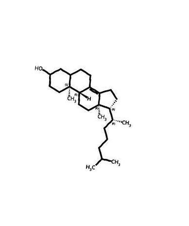 CC(C)CCC[C@@H](C)[C@H]1CCC2=C3CCC4CC(O)CC[C@]4(C)[C@H]3CC[C@@]21C